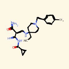 N#CCC1(N/C=C(\C(=N)NC(=O)C2CC2)C(N)=O)CCN(Cc2ccc(C(F)(F)F)cc2)CC1